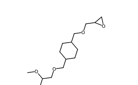 COC(C)COCC1CCC(COCC2CO2)CC1